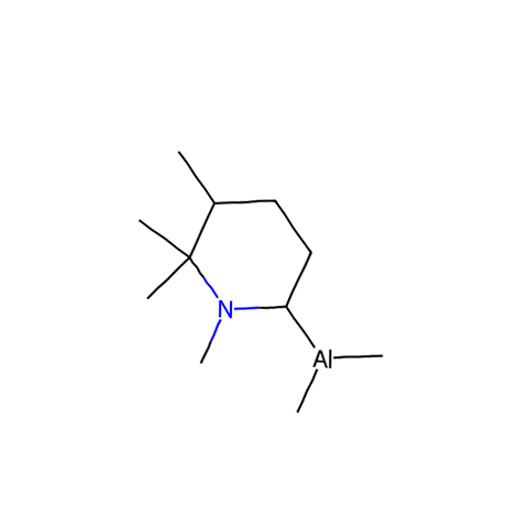 CC1CC[CH]([Al]([CH3])[CH3])N(C)C1(C)C